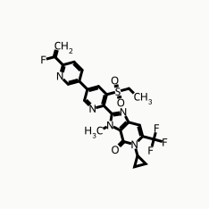 C=C(F)c1ccc(-c2cnc(-c3nc4cc(C(F)(F)F)n(C5CC5)c(=O)c4n3C)c(S(=O)(=O)CC)c2)cn1